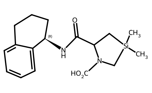 C[Si]1(C)CC(C(=O)N[C@@H]2CCCc3ccccc32)N(C(=O)O)C1